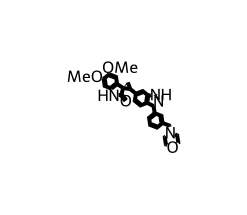 COc1cc2c(cc1OC)[C@]1(CC1c1ccc3c(-c4cccc(CN5CCOCC5)c4)n[nH]c3c1)C(=O)N2